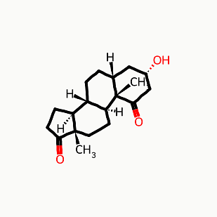 C[C@]12C(=O)C[C@@H](O)C[C@H]1CC[C@@H]1[C@@H]2CC[C@]2(C)C(=O)CC[C@@H]12